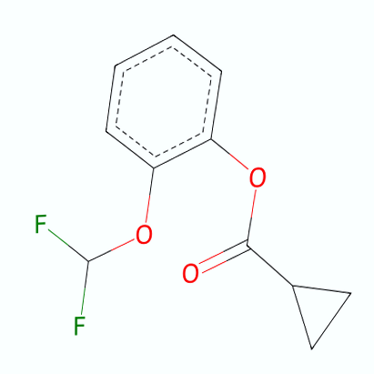 O=C(Oc1ccccc1OC(F)F)C1CC1